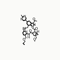 C=CCOCc1ccc(Br)nc1NC(=O)[C@@H]1C[C@@]2(COC)C[C@H]2N1C(=O)Cn1nc(C(C)=O)c2cc(-c3cnc(C)nc3)cc(CF)c21